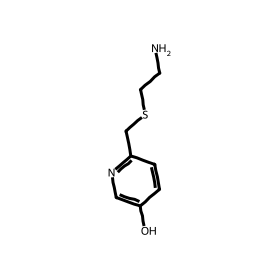 NCCSCc1ccc(O)cn1